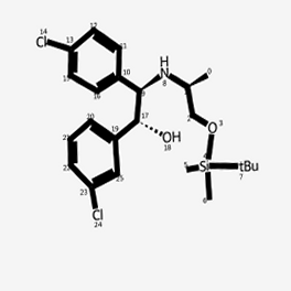 C[C@@H](CO[Si](C)(C)C(C)(C)C)N[C@H](c1ccc(Cl)cc1)[C@H](O)c1cccc(Cl)c1